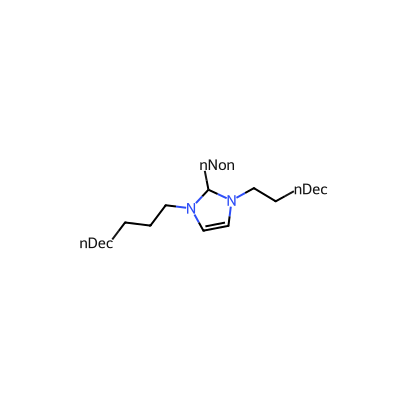 CCCCCCCCCCCCCN1C=CN(CCCCCCCCCCCC)C1CCCCCCCCC